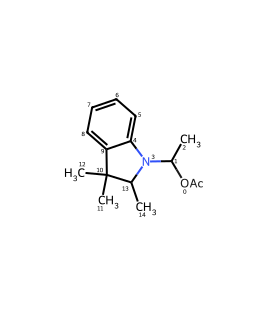 CC(=O)OC(C)N1c2ccccc2C(C)(C)C1C